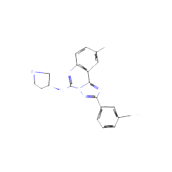 COc1cccc(-c2nc3c4cc(C)ccc4nc(N[C@H]4CCNC4)n3n2)c1